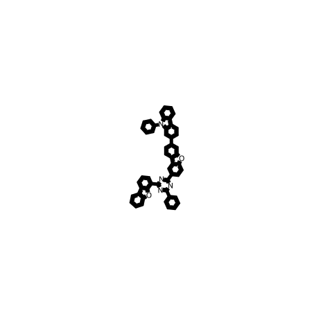 c1ccc(-c2nc(-c3ccc4oc5cc(-c6ccc7c8ccccc8n(-c8ccccc8)c7c6)ccc5c4c3)nc(-c3cccc4c3oc3ccccc34)n2)cc1